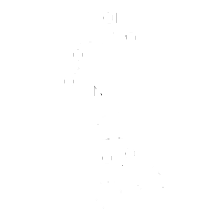 COC(=O)[C@H](CC(=O)C(=O)O)N1Cc2cc3c(cc2C1)OC(c1ccccc1)(c1ccccc1)O3